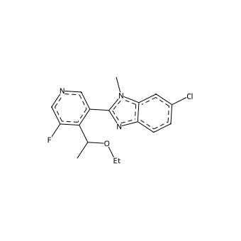 CCOC(C)c1c(F)cncc1-c1nc2ccc(Cl)cc2n1C